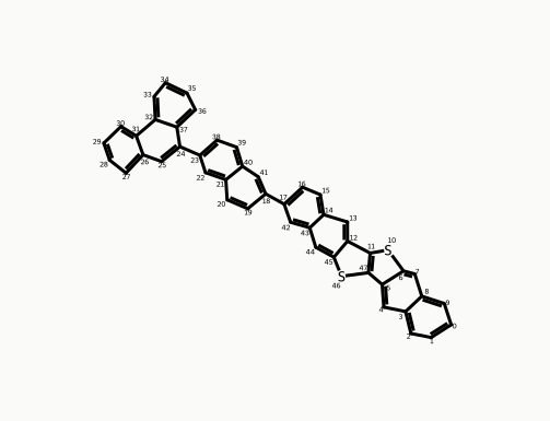 c1ccc2cc3c(cc2c1)sc1c2cc4ccc(-c5ccc6cc(-c7cc8ccccc8c8ccccc78)ccc6c5)cc4cc2sc31